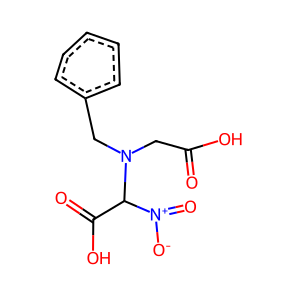 O=C(O)CN(Cc1ccccc1)C(C(=O)O)[N+](=O)[O-]